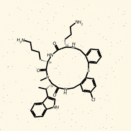 CC(c1c[nH]c2ccccc12)[C@H]1C(=O)NCc2cc(Cl)ccc2Sc2ccccc2CN[C@@H](CCCN)C(=O)N[C@@H](CCCCN)C(=O)N1C